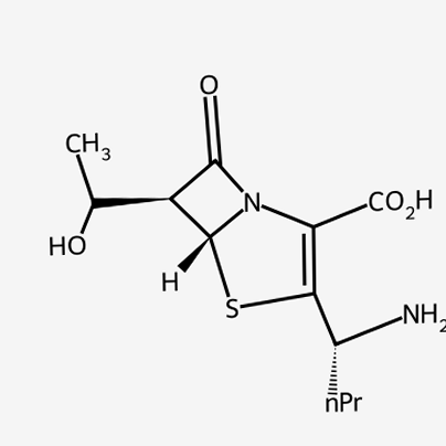 CCC[C@@H](N)C1=C(C(=O)O)N2C(=O)[C@H](C(C)O)[C@H]2S1